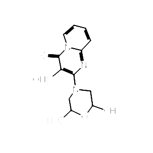 CC1CN(c2nc3ccccn3c(=O)c2C=O)CC(C)O1